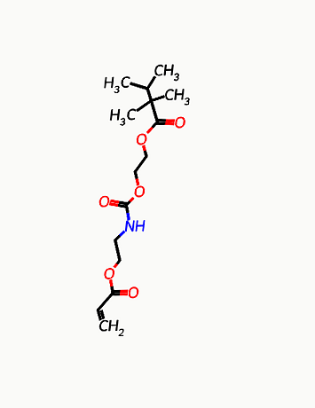 C=CC(=O)OCCNC(=O)OCCOC(=O)C(C)(C)C(C)C